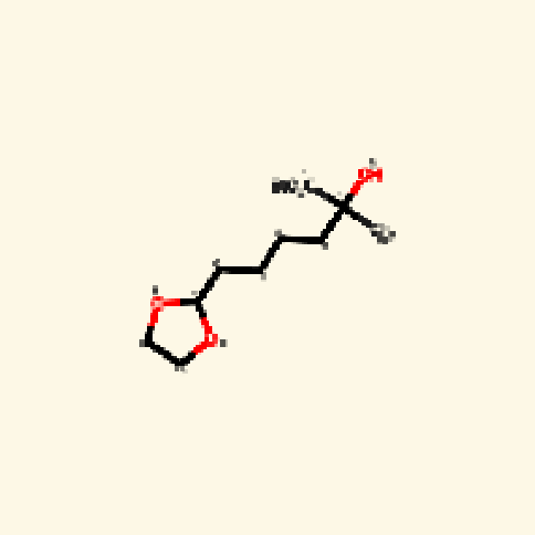 CCOC(=O)C(O)(CCCCC1OCCO1)C(F)(F)F